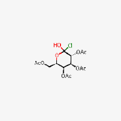 CC(=O)OC[C@H]1OC(O)(Cl)[C@H](OC(C)=O)[C@@H](OC(C)=O)[C@H]1OC(C)=O